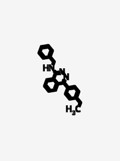 CCc1ccc(-c2nnc(NCc3ccccc3)c3ccccc23)cc1